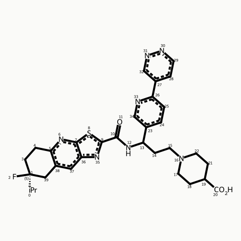 CC(C)[C@]1(F)CCc2nc3sc(C(=O)NC(CCN4CCC(C(=O)O)CC4)c4ccc(-c5ccnnc5)nc4)nc3cc2C1